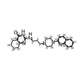 O=c1[nH]c([AsH]CCCN2CCN(c3ccc4ccccc4n3)CC2)nc2c1CCCC2